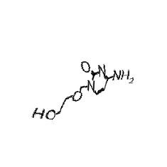 Nc1ccn(COCCO)c(=O)n1